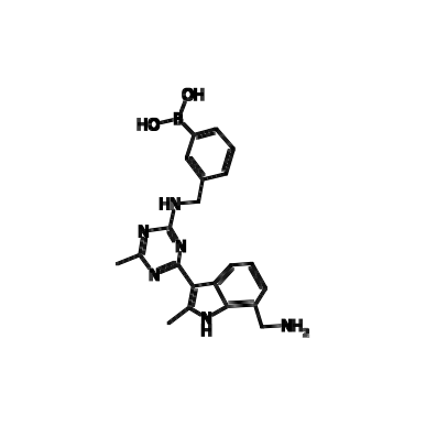 Cc1nc(NCc2cccc(B(O)O)c2)nc(-c2c(C)[nH]c3c(CN)cccc23)n1